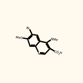 CNc1c(C(=O)O)cnc2cc(OC)c(Br)cc12